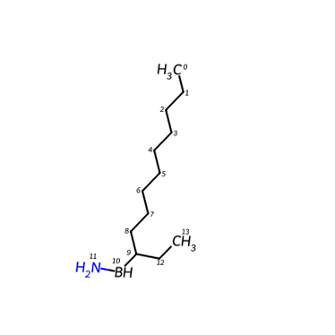 CCCCCCCCCC(BN)CC